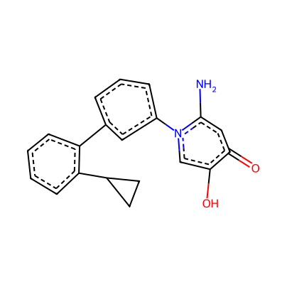 Nc1cc(=O)c(O)cn1-c1cccc(-c2ccccc2C2CC2)c1